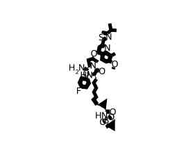 COc1ccc2c(O[C@@H]3C[C@@H](C(N)=O)N(C(=O)[C@H](CCCCC/C=C\[C@@H]4C[C@@H]4C(=O)NS(=O)(=O)C4(C)CC4)Nc4ccc(F)cc4)C3)cc(-c3nc(C(C)C)cs3)nc2c1C